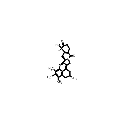 CC[C@@]1(O)C(=O)CCc2c1cc1n(c2=O)Cc2c-1nc1c(C)c(C)c(C)c3c1c2CC(C)C3